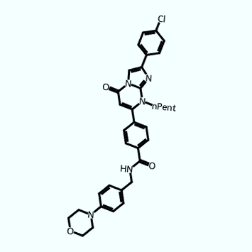 CCCCCn1c(-c2ccc(C(=O)NCc3ccc(N4CCOCC4)cc3)cc2)cc(=O)n2cc(-c3ccc(Cl)cc3)nc12